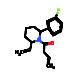 C=CCC(=O)N1C(C=C)CCCC1c1cccc(F)c1